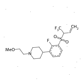 C=CC(C(F)(F)F)S(=O)(=O)c1cccc(C2CCN(CCOC)CC2)c1F